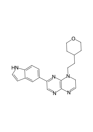 C1=Nc2ncc(-c3ccc4[nH]ccc4c3)nc2N(CCC2CCOCC2)C1